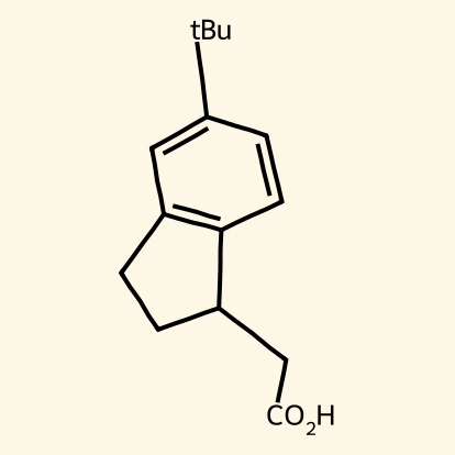 CC(C)(C)c1ccc2c(c1)CCC2CC(=O)O